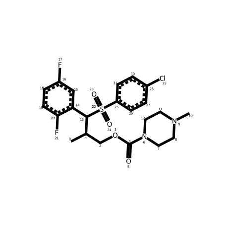 CC(COC(=O)N1CCN(C)CC1)C(c1cc(F)ccc1F)S(=O)(=O)c1ccc(Cl)cc1